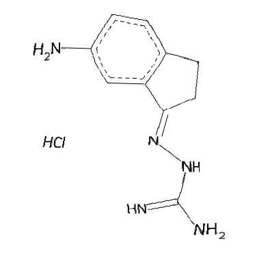 Cl.N=C(N)NN=C1CCc2ccc(N)cc21